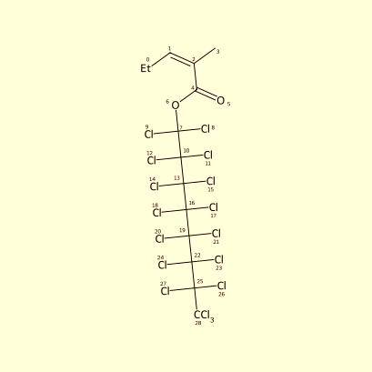 CCC=C(C)C(=O)OC(Cl)(Cl)C(Cl)(Cl)C(Cl)(Cl)C(Cl)(Cl)C(Cl)(Cl)C(Cl)(Cl)C(Cl)(Cl)C(Cl)(Cl)Cl